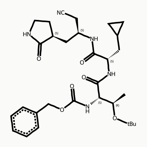 C[C@@H](OC(C)(C)C)[C@H](NC(=O)OCc1ccccc1)C(=O)N[C@@H](CC1CC1)C(=O)N[C@H](CC#N)C[C@@H]1CCNC1=O